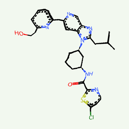 CC(C)Cc1nc2cnc(-c3cccc(CO)n3)cc2n1[C@@H]1CCC[C@H](NC(=O)c2ncc(Cl)s2)C1